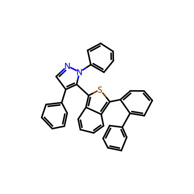 c1ccc(-c2ccccc2-c2sc(-c3c(-c4ccccc4)cnn3-c3ccccc3)c3ccccc23)cc1